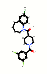 O=C(c1cc(F)cc(F)c1)N1CCC(C(=O)N2CCCCc3cc(Cl)ccc32)CC1